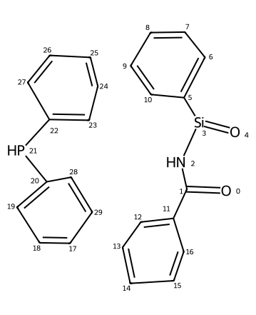 O=C(N[Si](=O)c1ccccc1)c1ccccc1.c1ccc(Pc2ccccc2)cc1